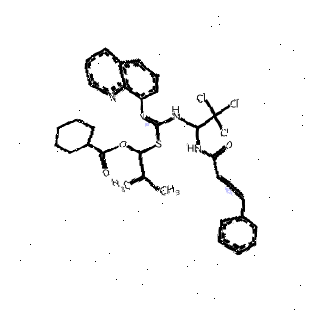 CC(C)C(OC(=O)C1CCCCC1)S/C(=N/c1cccc2cccnc12)NC(NC(=O)/C=C/c1ccccc1)C(Cl)(Cl)Cl